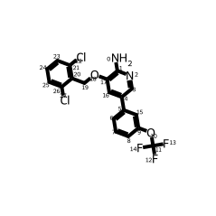 Nc1ncc(-c2cccc(OC(F)(F)F)c2)cc1OCc1c(Cl)cccc1Cl